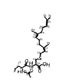 CC[C@H](C)[C@H](NC(C)=O)C(=O)NC(CSCC=C(C)CCC=C(C)CCC=C(C)C)C(=O)O